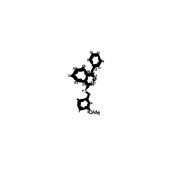 COc1cccc(CSc2nnc(-c3ccccc3)c3ccccc23)c1